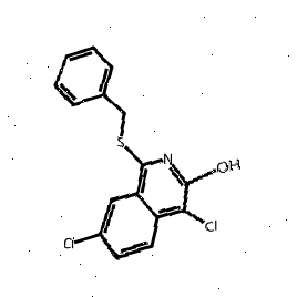 Oc1nc(SCc2ccccc2)c2cc(Cl)ccc2c1Cl